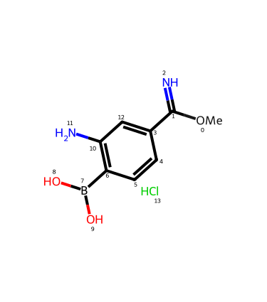 COC(=N)c1ccc(B(O)O)c(N)c1.Cl